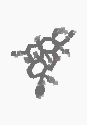 [C-]#[N+][C@]1(C)[C@H](C)C[C@@H]2C[C@H](C)[C@H]3CC[C@](C)([N+]#[C-])[C@H]4CC[C@H]1[C@@H]2[C@H]34